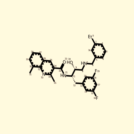 CCc1cccc(CNC[C@@H](O)[C@H](Cc2cc(F)cc(F)c2)NC(=O)c2cc3cccc(C)c3nc2C)c1